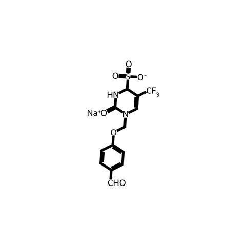 O=Cc1ccc(OCN2C=C(C(F)(F)F)C(S(=O)(=O)[O-])NC2=O)cc1.[Na+]